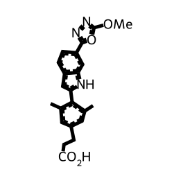 COc1nnc(-c2ccc3cc(-c4c(C)cc(CCC(=O)O)cc4C)[nH]c3c2)o1